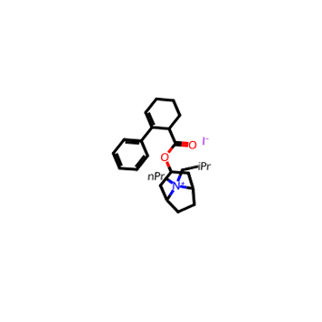 CCC[N+]1(CC(C)C)C2CCC1CC(OC(=O)C1CCCC=C1c1ccccc1)C2.[I-]